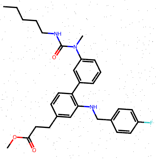 CCCCCNC(=O)N(C)c1cccc(-c2ccc(CCC(=O)OC)cc2NCc2ccc(F)cc2)c1